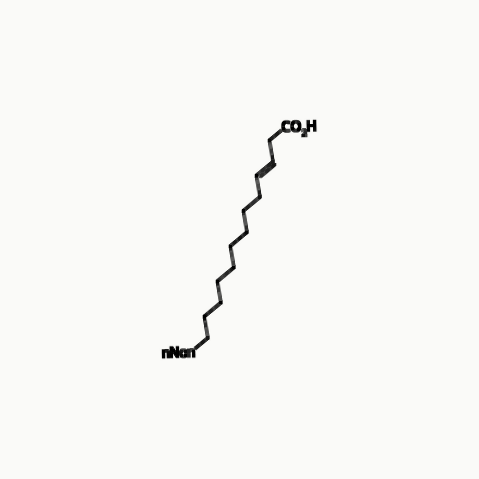 CCCCCCCCCCCCCCCCCC/C=C/CC(=O)O